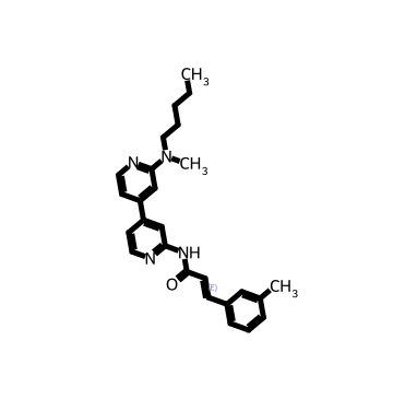 CCCCCN(C)c1cc(-c2ccnc(NC(=O)/C=C/c3cccc(C)c3)c2)ccn1